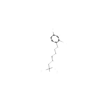 OC(O)(CCCCCCc1ccc(F)cc1F)O[SiH3]